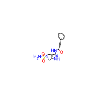 NS(=O)(=O)N1Cc2[nH]nc(NC(=O)C#Cc3ccccc3)c2C1